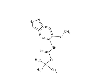 COc1cc2c(cc1NC(=O)OC(C)(C)C)=C[N]N=2